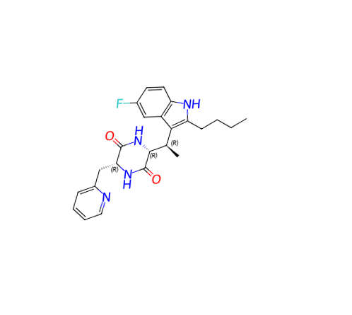 CCCCc1[nH]c2ccc(F)cc2c1[C@@H](C)[C@H]1NC(=O)[C@@H](Cc2ccccn2)NC1=O